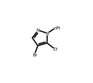 CCCn1ncc(Br)c1CC